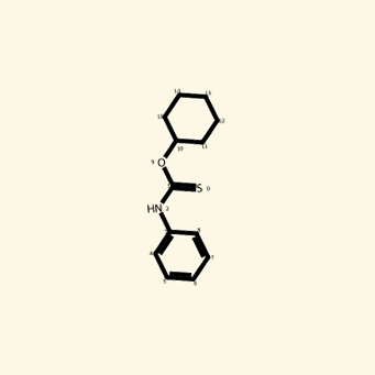 S=C(Nc1ccccc1)OC1CCCCC1